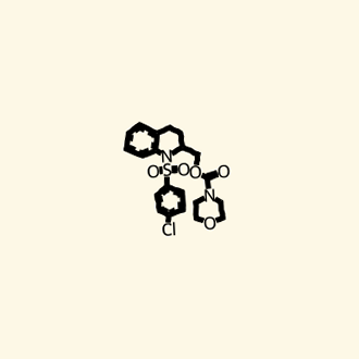 O=C(OCC1CCc2ccccc2N1S(=O)(=O)c1ccc(Cl)cc1)N1CCOCC1